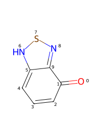 O=c1cccc2[nH]snc1-2